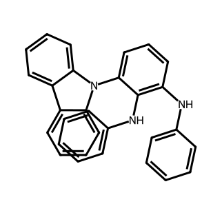 c1ccc(Nc2cccc(-n3c4ccccc4c4ccccc43)c2Nc2ccccc2)cc1